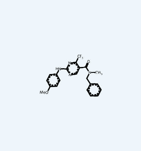 COc1ccc(Nc2ncc(C(=O)N(C)Cc3ccccc3)c(C(F)(F)F)n2)cc1